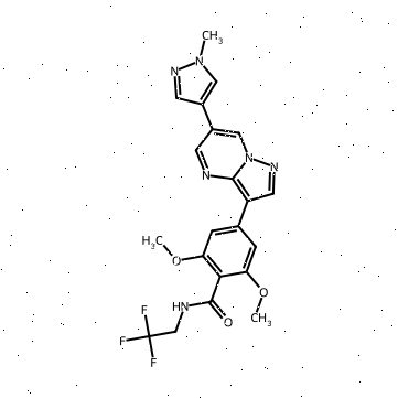 COc1cc(-c2cnn3cc(-c4cnn(C)c4)cnc23)cc(OC)c1C(=O)NCC(F)(F)F